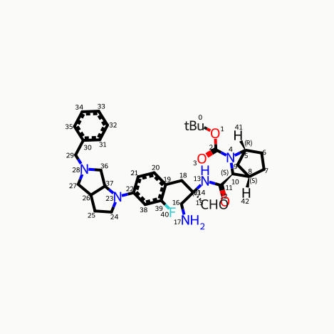 CC(C)(C)OC(=O)N1[C@@H]2CC[C@@H](C2)[C@H]1C(=O)N[C@@](C=O)(CN)Cc1ccc(N2CCC3CN(Cc4ccccc4)CC32)cc1F